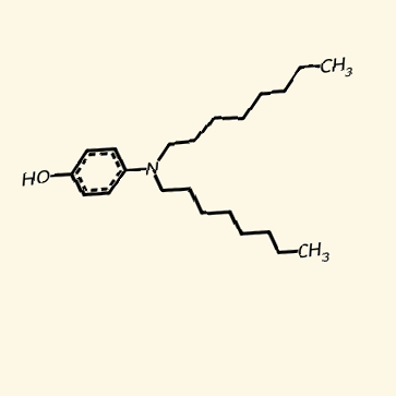 CCCCCCCCN(CCCCCCCC)c1ccc(O)cc1